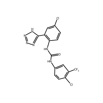 O=C(Nc1ccc(Cl)c(C(F)(F)F)c1)Nc1ccc(Cl)cc1-c1nnn[nH]1